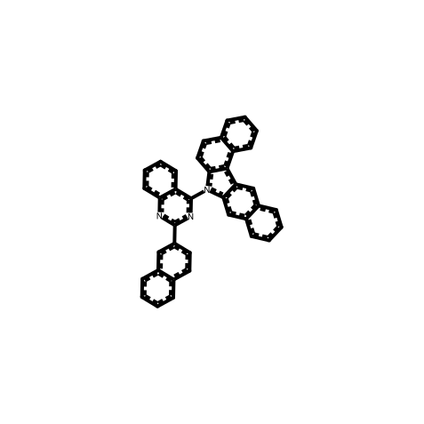 c1ccc2cc(-c3nc(-n4c5cc6ccccc6cc5c5c6ccccc6ccc54)c4ccccc4n3)ccc2c1